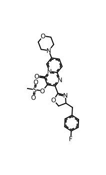 CS(=O)(=O)Oc1c(C2=NC(Cc3ccc(F)cc3)CO2)nc2ccc(N3CCOCC3)cn2c1=O